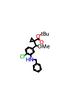 COC(c1ccc(Cl)c(NCc2ccccc2)c1)C1(C(=O)OC(C)(C)C)CC1